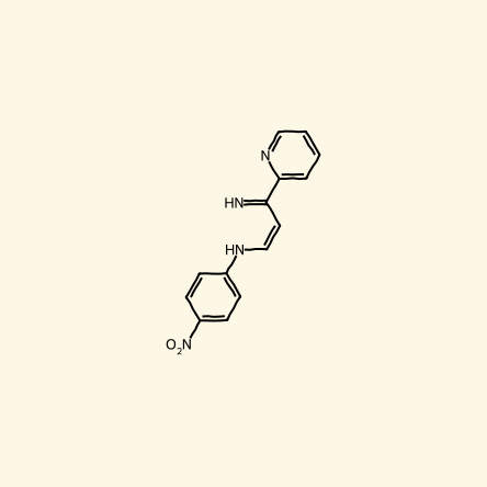 N=C(/C=C\Nc1ccc([N+](=O)[O-])cc1)c1ccccn1